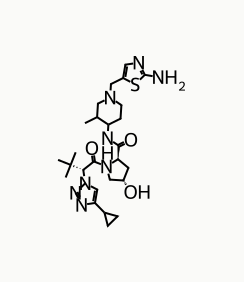 CC1CN(Cc2cnc(N)s2)CCC1NC(=O)[C@H]1C[C@H](O)CN1C(=O)[C@H](n1cc(C2CC2)nn1)C(C)(C)C